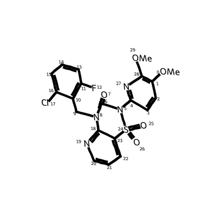 COc1ccc(N2C(=O)N(Cc3c(F)cccc3Cl)c3ncccc3S2(=O)=O)nc1OC